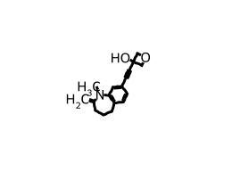 C=C1CCCc2ccc(C#CC3(O)COC3)cc2N1C